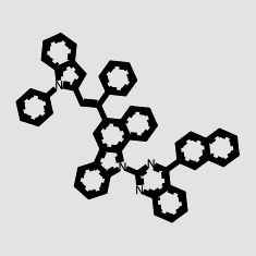 C(=C(/c1ccccc1)c1cc2c3ccccc3n(-c3nc(-c4ccc5ccccc5c4)c4ccccc4n3)c2c2ccccc12)/c1cc2ccccc2n1-c1ccccc1